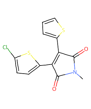 CN1C(=O)C(c2cccs2)=C(c2ccc(Cl)s2)C1=O